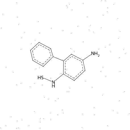 Nc1ccc(NS)c(-c2ccccc2)c1